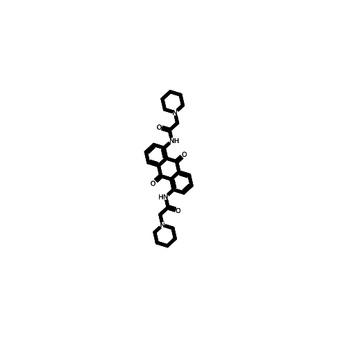 O=C(CN1CCCCC1)Nc1cccc2c1C(=O)c1cccc(NC(=O)CN3CCCCC3)c1C2=O